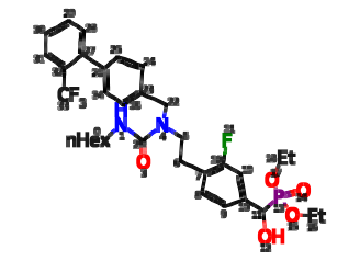 CCCCCCNC(=O)N(CCc1ccc(C(O)P(=O)(OCC)OCC)cc1F)Cc1ccc(-c2ccccc2C(F)(F)F)cc1